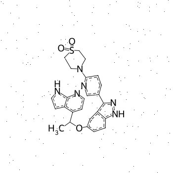 CC(Oc1ccc2[nH]nc(-c3ccc(N4CCS(=O)(=O)CC4)nc3)c2c1)c1ccnc2[nH]ccc12